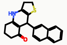 O=C1CCCC2=C1C(c1ccc3ccccc3c1)C1=C(CCS1)N2